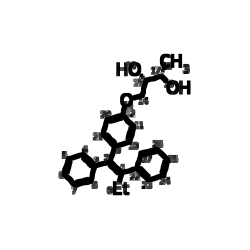 CC/C(=C(\c1ccccc1)c1ccc(OC[C@H](O)[C@H](C)O)cc1)c1ccccc1